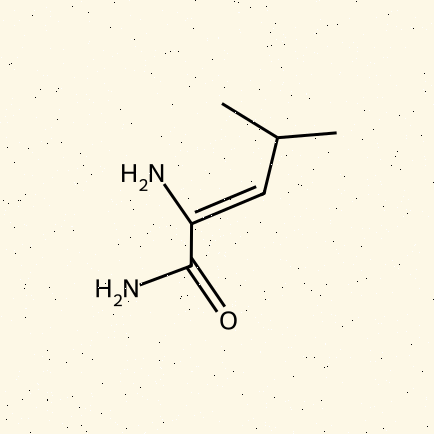 CC(C)C=C(N)C(N)=O